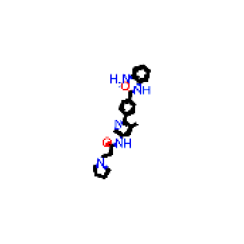 Cc1cc(NC(=O)CCN2CCCC2)cnc1-c1ccc(C(=O)Nc2ccccc2N)cc1